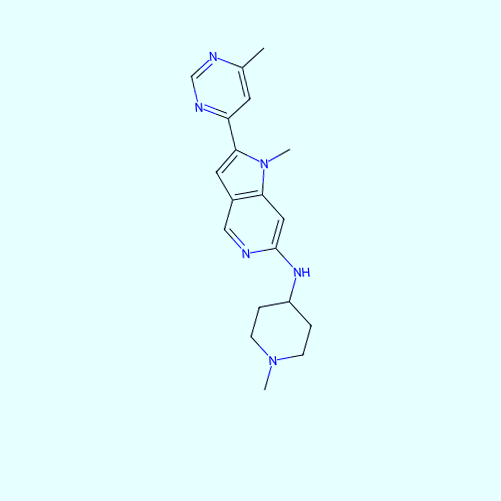 Cc1cc(-c2cc3cnc(NC4CCN(C)CC4)cc3n2C)ncn1